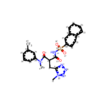 CC(C)N(C(=O)C(Cc1nnnn1C)C(=O)NS(=O)(=O)c1ccc2ccccc2c1)c1cccc(C(F)(F)F)c1